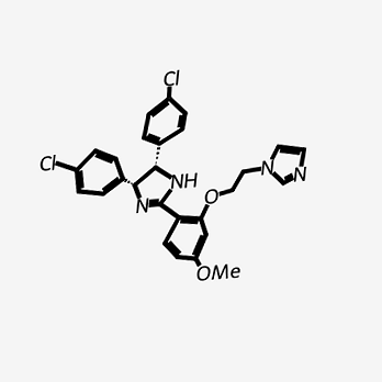 COc1ccc(C2=N[C@H](c3ccc(Cl)cc3)[C@H](c3ccc(Cl)cc3)N2)c(OCCn2ccnc2)c1